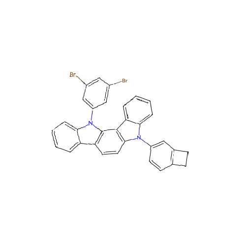 Brc1cc(Br)cc(-n2c3ccccc3c3ccc4c(c5ccccc5n4-c4ccc5c(c4)CC5)c32)c1